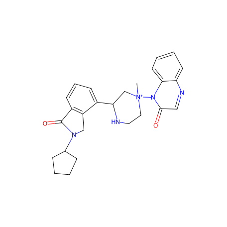 C[N+]1(n2c(=O)cnc3ccccc32)CCNC(c2cccc3c2CN(C2CCCC2)C3=O)C1